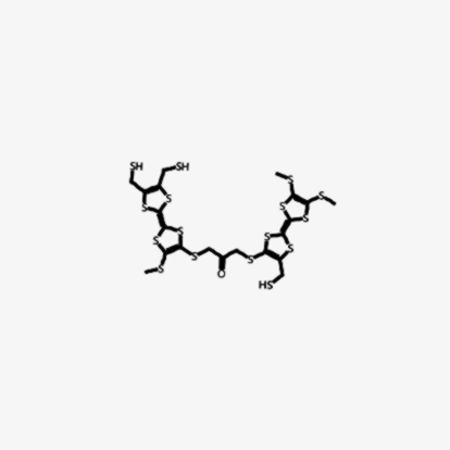 CSC1=C(SC)SC(=C2SC(CS)=C(SCC(=O)CSC3=C(SC)SC(=C4SC(CS)=C(CS)S4)S3)S2)S1